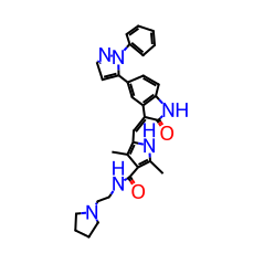 Cc1[nH]c(/C=C2\C(=O)Nc3ccc(-c4ccnn4-c4ccccc4)cc32)c(C)c1C(=O)NCCN1CCCC1